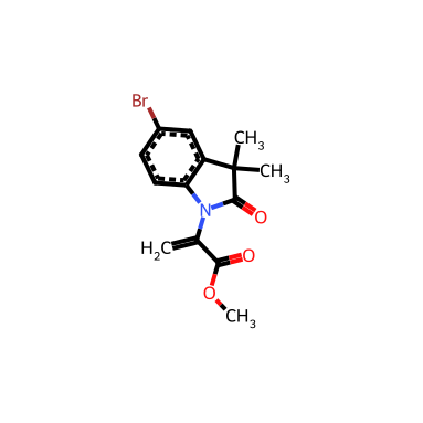 C=C(C(=O)OC)N1C(=O)C(C)(C)c2cc(Br)ccc21